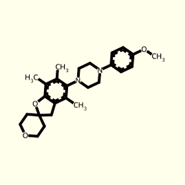 COc1ccc(N2CCN(c3c(C)c(C)c4c(c3C)CC3(CCOCC3)O4)CC2)cc1